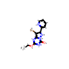 O=c1[nH]c(OCC(F)(F)F)nc2c(Br)c(-c3ccccn3)nn12